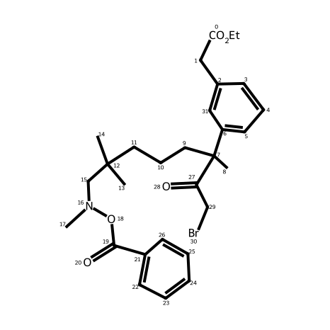 CCOC(=O)Cc1cccc(C(C)(CCCC(C)(C)CN(C)OC(=O)c2ccccc2)C(=O)CBr)c1